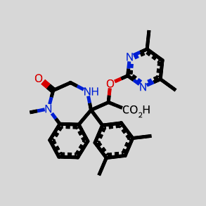 Cc1cc(C)cc(C2(C(Oc3nc(C)cc(C)n3)C(=O)O)NCC(=O)N(C)c3ccccc32)c1